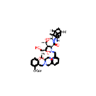 COc1cccc(O)c1CN(Cc1cccc(CN2O[C@@H](CO)[C@@H]([C@H](C)O)[C@H]2C(=O)N[C@H]2C[C@H]3C[C@@H]([C@@H]2C)C3(C)C)c1)[C@@H](CC(C)C)CN(C)C